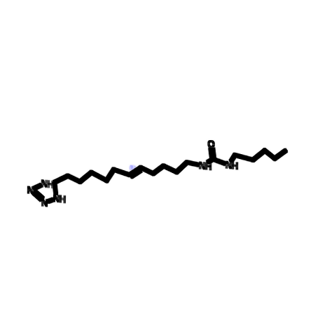 CCCCCNC(=O)NCCCC/C=C/CCCCCC1NN=NN1